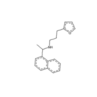 CC(NCCCc1ccco1)c1cccc2ccccc12